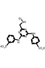 CCNCc1nc(Nc2ccc(S(=O)(=O)O)cc2)nc(Nc2cccc(S(=O)(=O)O)c2)n1